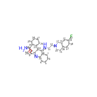 Cc1nc2ccccc2c(NCCN2CCc3ccc(F)cc3C2)c1-c1ccccc1C(N)=O